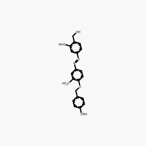 COc1ccc(COc2ccc(N=Nc3ccc(CO)c(OC)c3)cc2C(=O)O)cc1